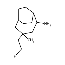 CC1(CCF)CC2CCC(CC2)C(N)C1